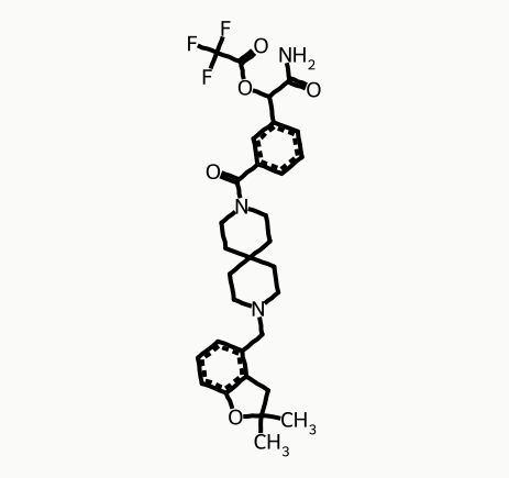 CC1(C)Cc2c(CN3CCC4(CC3)CCN(C(=O)c3cccc(C(OC(=O)C(F)(F)F)C(N)=O)c3)CC4)cccc2O1